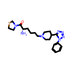 N[C@@H](CCCCN1CCC(c2nnnn2-c2ccccc2)CC1)C(=O)N1CCSC1